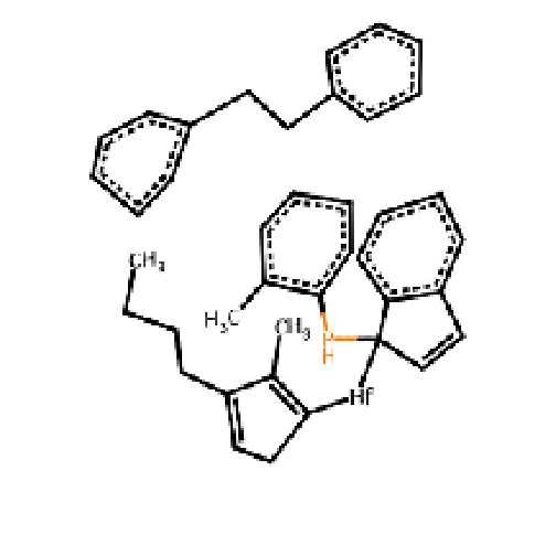 CCCCC1=CC[C]([Hf][C]2(Pc3ccccc3C)C=Cc3ccccc32)=C1C.c1ccc(CCc2ccccc2)cc1